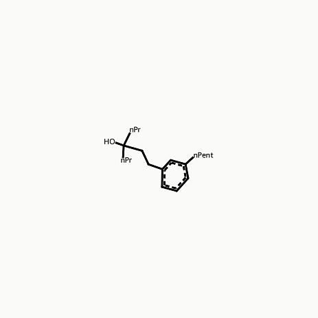 CCCCCc1cccc(CCC(O)(CCC)CCC)c1